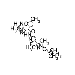 Cc1nn(COCC[Si](C)(C)C)c(C)c1-c1ccc(NC(=O)[C@H](c2cnn(C)c2C(N)=O)C2CCC(C)CC2)nc1F